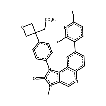 CCOC(=O)CC1(c2ccc(-n3c(=O)n(C)c4cnc5ccc(-c6ccc(F)nc6F)cc5c43)cc2)COC1